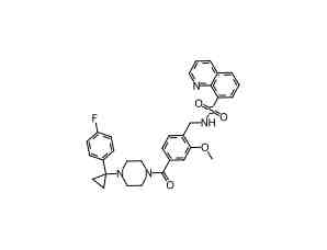 COc1cc(C(=O)N2CCN(C3(c4ccc(F)cc4)CC3)CC2)ccc1CNS(=O)(=O)c1cccc2cccnc12